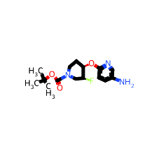 CC(C)(C)OC(=O)N1CC[C@@H](Oc2ccc(N)cn2)[C@@H](F)C1